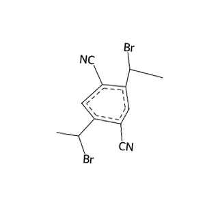 CC(Br)c1cc(C#N)c(C(C)Br)cc1C#N